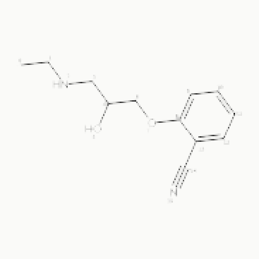 [CH2]CNCC(O)COc1ccccc1C#N